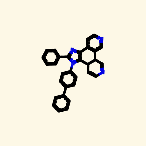 C1=CC2c3c(nc(-c4ccccc4)n3-c3ccc(-c4ccccc4)cc3)-c3ccncc3C2C=N1